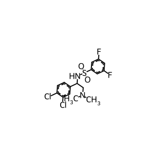 CN(C)CC(NS(=O)(=O)c1cc(F)cc(F)c1)c1ccc(Cl)c(Cl)c1